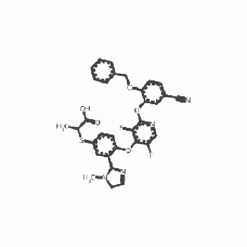 CC(Sc1ccc(Oc2c(F)cnc(Oc3cc(C#N)ccc3OCc3ccccc3)c2F)c(C2N=CCN2C)c1)C(=O)O